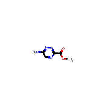 COC(=O)c1ncc(N)nn1